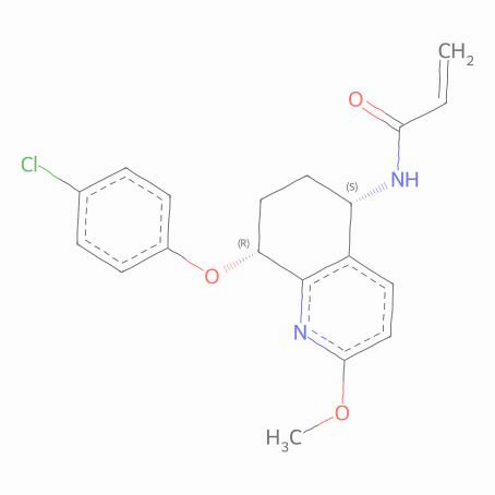 C=CC(=O)N[C@H]1CC[C@@H](Oc2ccc(Cl)cc2)c2nc(OC)ccc21